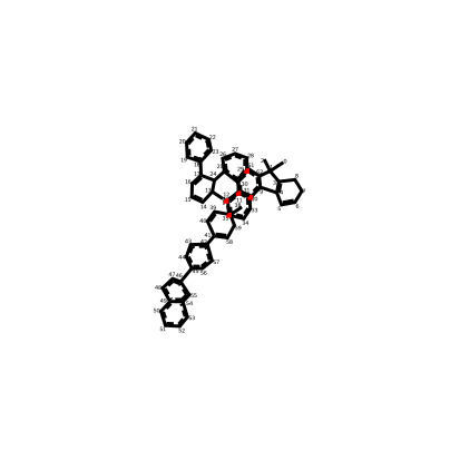 CC1(C)C2=C(C=CCC2)c2cc(N(C3C=CC=C(c4ccccc4)C3c3ccccc3-c3ccccc3)C3(C)C=CC(c4ccc(-c5ccc6ccccc6c5)cc4)=CC3)ccc21